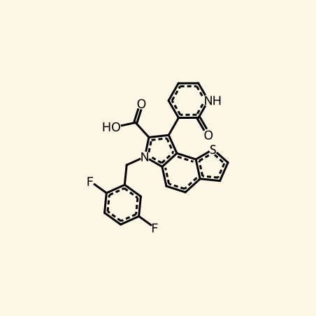 O=C(O)c1c(-c2ccc[nH]c2=O)c2c3sccc3ccc2n1Cc1cc(F)ccc1F